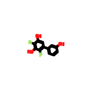 Oc1cccc(-c2cc(O)c(F)c(O)c2F)c1